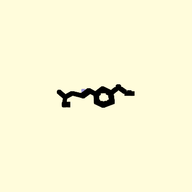 CCCCOc1cccc(/C=C/CC(C)O)c1